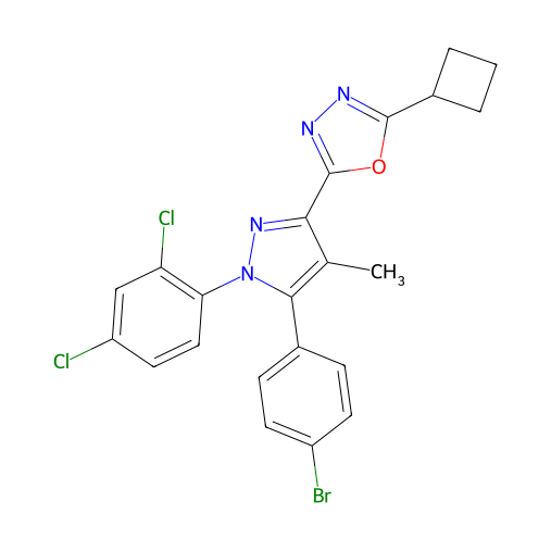 Cc1c(-c2nnc(C3CCC3)o2)nn(-c2ccc(Cl)cc2Cl)c1-c1ccc(Br)cc1